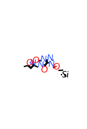 Cc1cc(Cn2c(=O)c3c(ncn3COCC[Si](C)(C)C)n(C)c2=O)no1